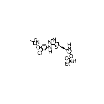 CCNC(=O)OC1CNC(C#Cc2cc3ncnc(Nc4ccc(Oc5cc(C)on5)c(Cl)c4)c3s2)C1